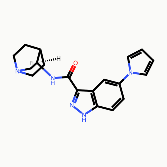 O=C(N[C@H]1CN2CCC1CC2)c1n[nH]c2ccc(-n3cccc3)cc12